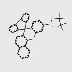 CC1(C)OB(c2ccc3c(c2)Oc2c(ccc4ccccc24)C32c3ccccc3-c3ccccc32)OC1(C)C